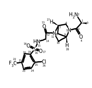 C[C@H](N)C(=O)N1C[C@@H]2C[C@H]1CN2C(=O)CNS(=O)(=O)c1cc(C(F)(F)F)ccc1Cl